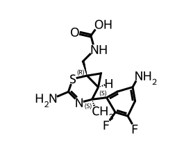 C[C@]1(c2cc(N)cc(F)c2F)N=C(N)S[C@]2(CNC(=O)O)C[C@H]21